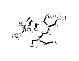 CC(=O)O.CC(=O)O.CC(=O)O.CC(=O)O.O=C(O)CN(CCN(CC(=O)O)CC(=O)O)CC(=O)O.[NaH]